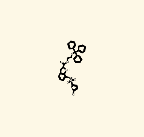 O=C(NCCSC(c1ccccc1)(c1ccccc1)c1ccccc1)C1Cc2cccc(NS(=O)(=O)c3ccc(Cl)s3)c2N1